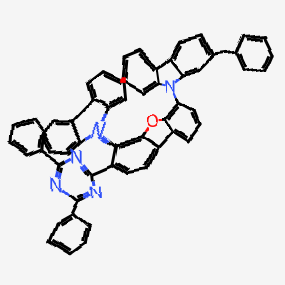 c1ccc(-c2ccc3c4ccccc4n(-c4cccc5c4oc4c(-n6c7ccccc7c7ccccc76)c(-c6nc(-c7ccccc7)nc(-c7ccccc7)n6)ccc45)c3c2)cc1